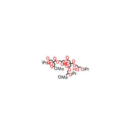 COCC(COC(=O)CC(O)(CC(=O)OCC(O)COC(=O)C(O)(CC(=O)OC)CC(=O)OC(C)C)C(=O)OCC(O)COC(C)C)OC(C)C